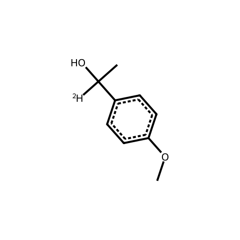 [2H]C(C)(O)c1ccc(OC)cc1